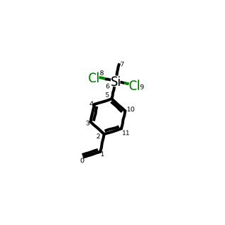 C=Cc1ccc([Si](C)(Cl)Cl)cc1